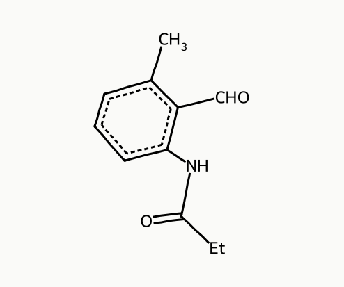 CCC(=O)Nc1cccc(C)c1C=O